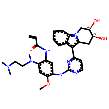 C=CC(=O)Nc1cc(Nc2nccc(-c3c4n(c5ccccc35)C[C@@H](O)[C@@H](O)C4)n2)c(OC)cc1N(C)CCN(C)C